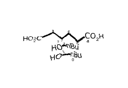 CCCCO.CCCCO.O=C(O)CCCCC(=O)O